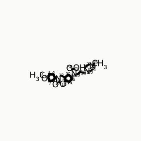 COc1ccc2c(c1)oc(=O)n2Cc1cccc(N(CCCN2CCN(C)CC2)C(=O)O)c1